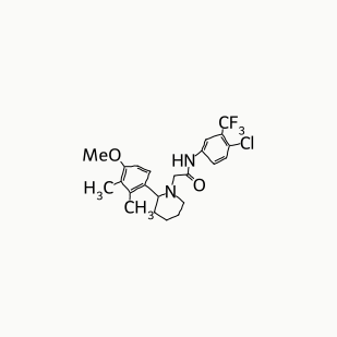 COc1ccc(C2CCCCN2CC(=O)Nc2ccc(Cl)c(C(F)(F)F)c2)c(C)c1C